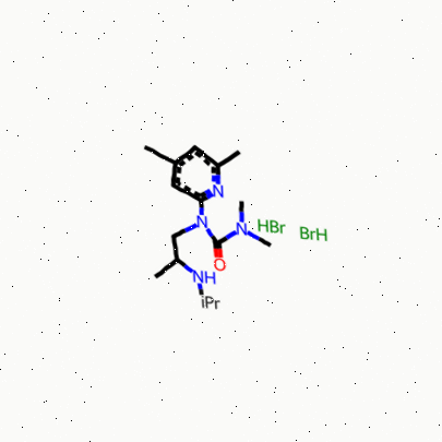 Br.Br.Cc1cc(C)nc(N(CC(C)NC(C)C)C(=O)N(C)C)c1